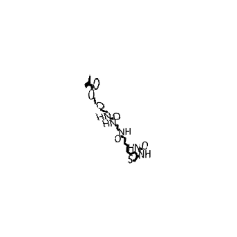 C=C(C)C(=O)OCCOCCNC(=O)NCCNC(=O)CCCCC1SCC2NC(=O)NC21